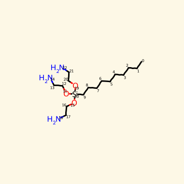 CCCCCCCCCC[Si](OCCN)(OCCN)OCCN